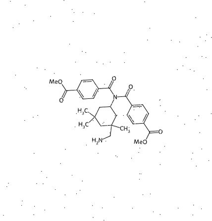 COC(=O)c1ccc(C(=O)N(C(=O)c2ccc(C(=O)OC)cc2)C2CC(C)(C)CC(C)(CN)C2)cc1